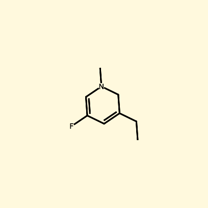 CCC1=CC(F)=CN(C)C1